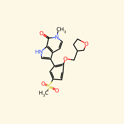 Cn1ccc2c(-c3cc(S(C)(=O)=O)ccc3OCC3CCOC3)c[nH]c2c1=O